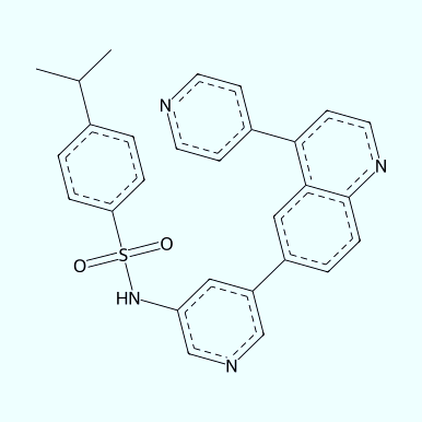 CC(C)c1ccc(S(=O)(=O)Nc2cncc(-c3ccc4nccc(-c5ccncc5)c4c3)c2)cc1